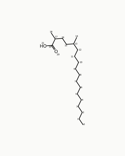 CCCCCCCCCCCCCC(C)CCC(C)C(=O)O